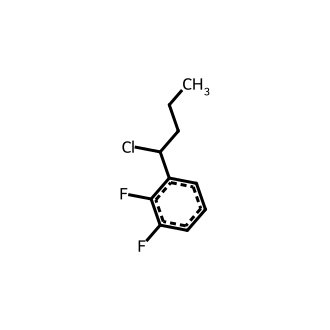 CCCC(Cl)c1cccc(F)c1F